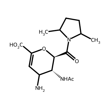 CC(=O)N[C@@H]1C(N)C=C(C(=O)O)O[C@H]1C(=O)N1C(C)CCC1C